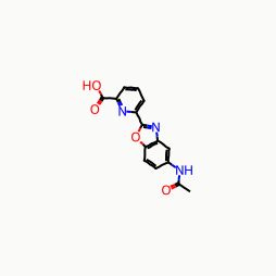 CC(=O)Nc1ccc2oc(-c3cccc(C(=O)O)n3)nc2c1